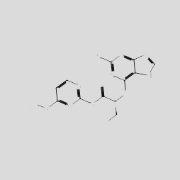 CC[C@H](Sc1nc(N)nc2nc[nH]c12)C(=O)Nc1nccc(NC)n1